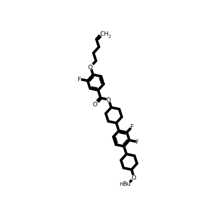 C=CCCCOc1ccc(C(=O)OC2CCC(c3ccc(C4CCC(OCCCC)CC4)c(F)c3F)CC2)cc1F